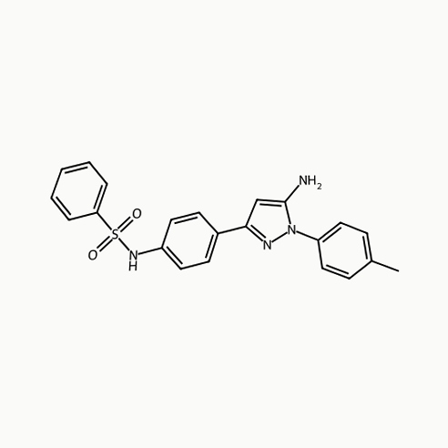 Cc1ccc(-n2nc(-c3ccc(NS(=O)(=O)c4ccccc4)cc3)cc2N)cc1